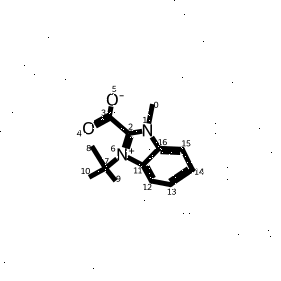 Cn1c(C(=O)[O-])[n+](C(C)(C)C)c2ccccc21